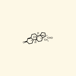 C[C@]12CC[C@H]3[C@@H](CCC4=CC(=O)CC[C@@]43C)[C@@H]1CC[C@@H]2[C]=O